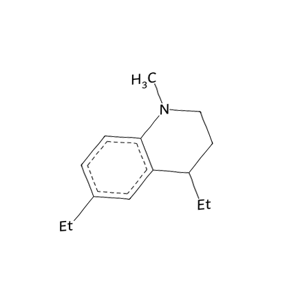 CCc1ccc2c(c1)C(CC)CCN2C